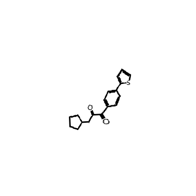 O=C(CC1CCCC1)C(=O)c1ccc(-c2cccs2)cc1